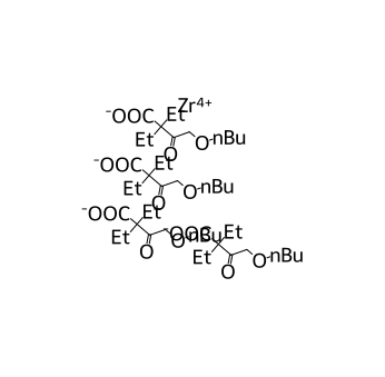 CCCCOCC(=O)C(CC)(CC)C(=O)[O-].CCCCOCC(=O)C(CC)(CC)C(=O)[O-].CCCCOCC(=O)C(CC)(CC)C(=O)[O-].CCCCOCC(=O)C(CC)(CC)C(=O)[O-].[Zr+4]